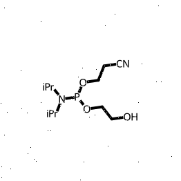 CC(C)N(C(C)C)P(OCCO)OCCC#N